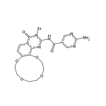 CCn1c(NC(=O)c2cnc(N)nc2)nc2c3c(ccc2c1=O)OCCOCCOCCO3